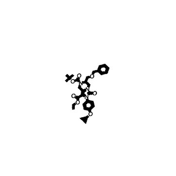 CCOC(=O)c1c2n(c(=O)n1-c1ccc(OC3CC3)cc1)CC(COCc1ccccc1)N(C(=O)OC(C)(C)C)C2